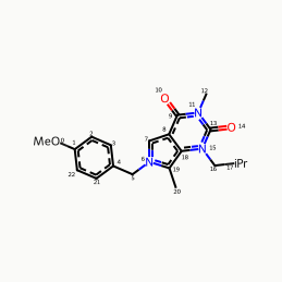 COc1ccc(Cn2cc3c(=O)n(C)c(=O)n(CC(C)C)c3c2C)cc1